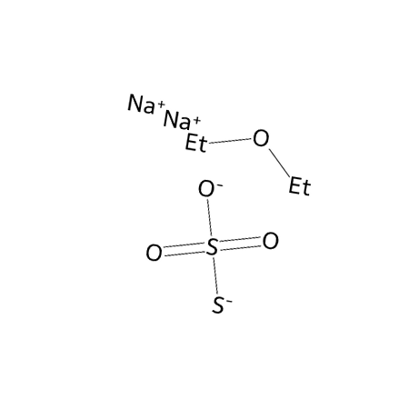 CCOCC.O=S(=O)([O-])[S-].[Na+].[Na+]